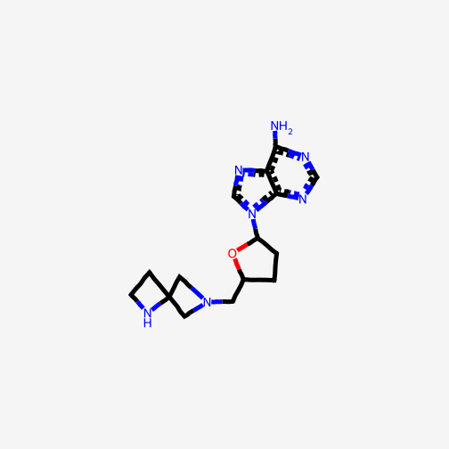 Nc1ncnc2c1ncn2C1CCC(CN2CC3(CCN3)C2)O1